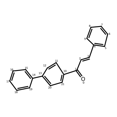 O=C(/C=C/c1ccccc1)c1ccc(-c2ccccc2)cc1